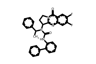 CC(c1ccccc1)N(C(=O)Nc1ccccc1-c1ccccc1)C1CCn2c1nc1cc(F)c(F)cc1c2=O